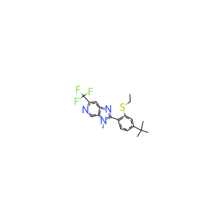 CCSc1cc(C(C)(C)C)ccc1-c1nc2cc(C(F)(F)F)ncc2n1C